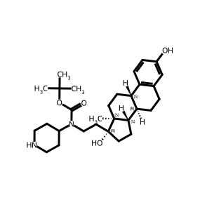 CC(C)(C)OC(=O)N(CC[C@]1(O)CC[C@H]2[C@@H]3CCc4cc(O)ccc4[C@H]3CC[C@@]21C)C1CCNCC1